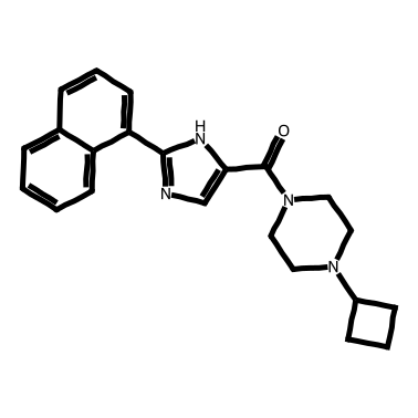 O=C(c1cnc(-c2cccc3ccccc23)[nH]1)N1CCN(C2CCC2)CC1